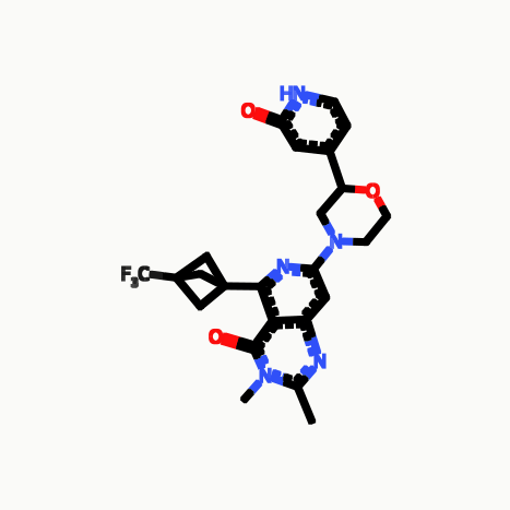 Cc1nc2cc(N3CCOC(c4cc[nH]c(=O)c4)C3)nc(C34CC(C(F)(F)F)(C3)C4)c2c(=O)n1C